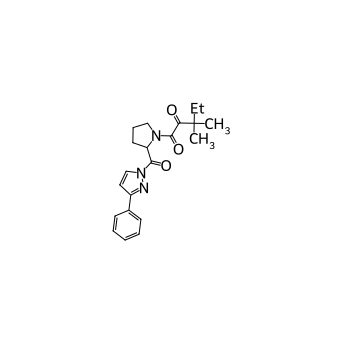 CCC(C)(C)C(=O)C(=O)N1CCCC1C(=O)n1ccc(-c2ccccc2)n1